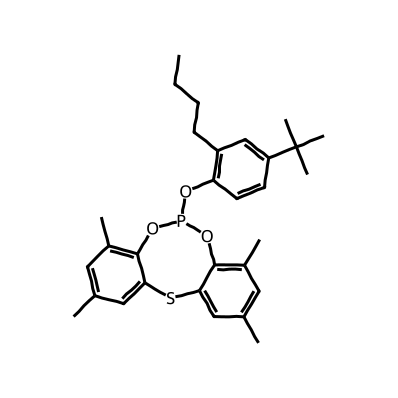 CCCCc1cc(C(C)(C)C)ccc1OP1Oc2c(C)cc(C)cc2Sc2cc(C)cc(C)c2O1